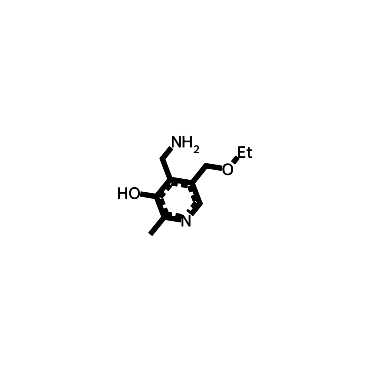 CCOCc1cnc(C)c(O)c1CN